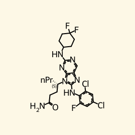 CCC[C@@H](CCC(N)=O)n1c(Nc2c(F)cc(Cl)cc2Cl)nc2cnc(NC3CCC(F)(F)CC3)nc21